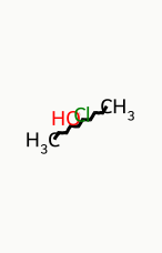 CCCCCCCCCC.OCl